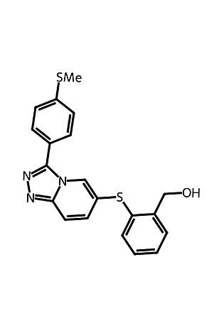 CSc1ccc(-c2nnc3ccc(Sc4ccccc4CO)cn23)cc1